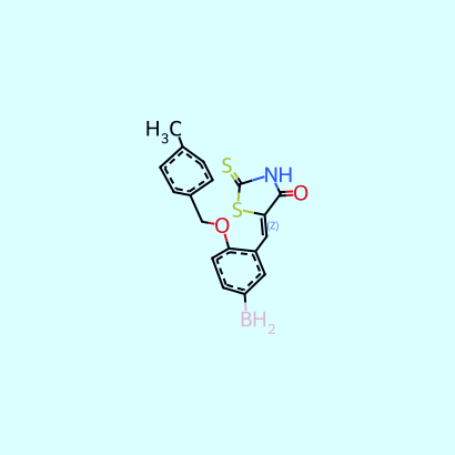 Bc1ccc(OCc2ccc(C)cc2)c(/C=C2\SC(=S)NC2=O)c1